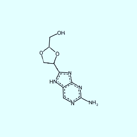 Nc1ncc2[nH]c(C3COC(CO)O3)nc2n1